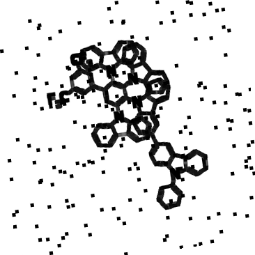 FC(F)(F)c1cc(-c2cc(-n3c4ccccc4c4ccccc43)c(-n3c4ccccc4c4cc(-c5ccc6c(c5)c5ccccc5n6-c5ccccc5)ccc43)c(-n3c4ccccc4c4ccccc43)c2-n2c3ccccc3c3ccccc32)cc(C(F)(F)F)c1